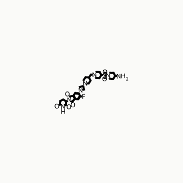 NC1CCN(S(=O)(=O)C2CCN(CC3CCN(C4CN(c5cc6c(cc5F)C(=O)N(C5CCC(=O)NC5=O)C6=O)C4)CC3)CC2)CC1